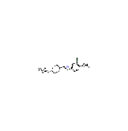 C=CC1CCC(/C=C/c2ccc(C)c(F)c2)CC1